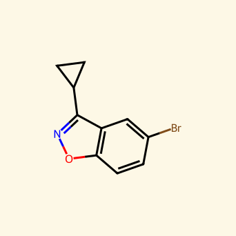 Brc1ccc2onc(C3CC3)c2c1